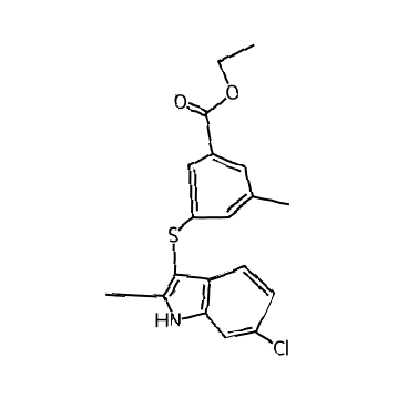 CCOC(=O)c1cc(C)cc(Sc2c(C)[nH]c3cc(Cl)ccc23)c1